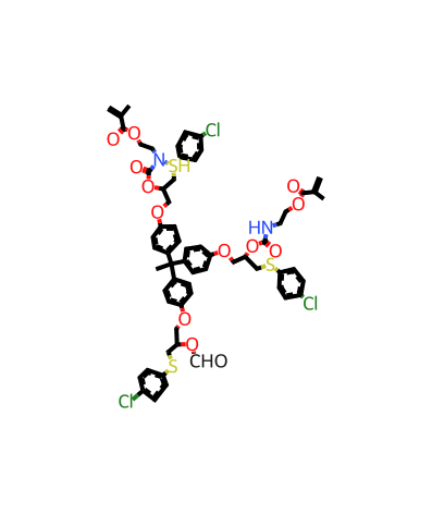 C=C(C)C(=O)OCCNC(=O)OC(COc1ccc(C(C)(c2ccc(OCC(CSc3ccc(Cl)cc3)OC=O)cc2)c2ccc(OCC3C[SH](c4ccc(Cl)cc4)N(CCOC(=O)C(=C)C)C(=O)O3)cc2)cc1)CSc1ccc(Cl)cc1